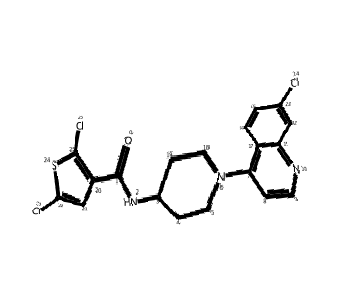 O=C(NC1CCN(c2ccnc3cc(Cl)ccc23)CC1)c1cc(Cl)sc1Cl